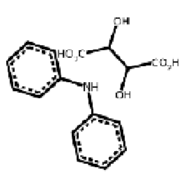 O=C(O)C(O)C(O)C(=O)O.c1ccc(Nc2ccccc2)cc1